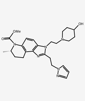 COC(=O)N1c2ccc3c(nc(CCn4cccn4)n3CCN3CCC(O)CC3)c2CC[C@@H]1C